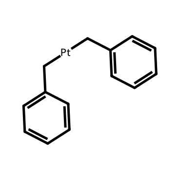 c1ccc([CH2][Pt][CH2]c2ccccc2)cc1